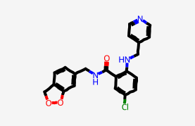 O=C(NCc1ccc2c(c1)OOC2)c1cc(Cl)ccc1NCc1ccncc1